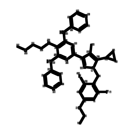 CCOc1cc(F)c(Cn2nc(-c3nc(Nc4ccncc4)c(OCCOC)c(Nc4ccncc4)n3)c(C)c2C2CC2)c(F)c1